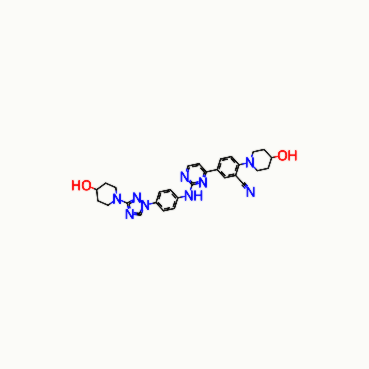 N#Cc1cc(-c2ccnc(Nc3ccc(-n4cnc(N5CCC(O)CC5)n4)cc3)n2)ccc1N1CCC(O)CC1